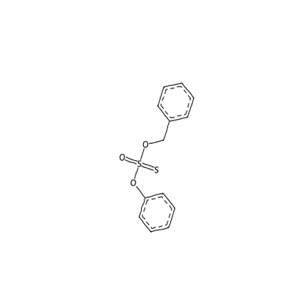 O=S(=S)(OCc1ccccc1)Oc1ccccc1